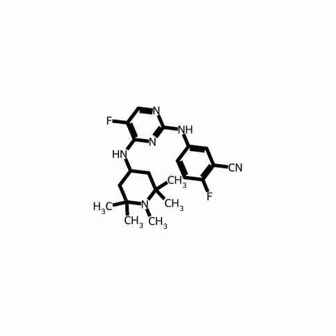 CN1C(C)(C)CC(Nc2nc(Nc3ccc(F)c(C#N)c3)ncc2F)CC1(C)C